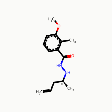 C=CC[C@H](C)NNC(=O)c1cccc(OC)c1C